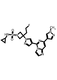 Cn1cc(-c2cc3nccn3c(-c3cnn(C4(CCF)CN(S(=O)(=O)NC5CC5)C4)c3)n2)cn1